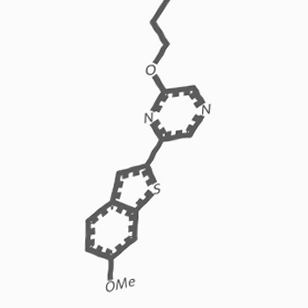 COc1ccc2cc(-c3cncc(OCCCF)n3)sc2c1